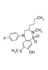 CCCCC1CN(c2ccc(F)cc2)c2cc(SC)c(O)cc2S(=O)(=O)N1C